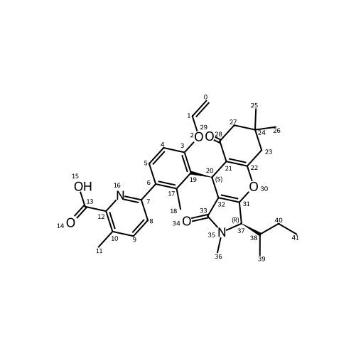 C=COc1ccc(-c2ccc(C)c(C(=O)O)n2)c(C)c1[C@H]1C2=C(CC(C)(C)CC2=O)OC2=C1C(=O)N(C)[C@@H]2C(C)CC